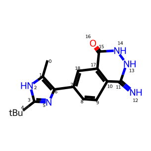 Cc1[nH]c(C(C)(C)C)nc1-c1ccc2c(=N)[nH][nH]c(=O)c2c1